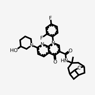 CC1(NC(=O)c2cn(-c3ccc(F)cc3F)c3nc(N4CCCC(O)C4)ccc3c2=O)CC2CC3CC(C1)C3C2